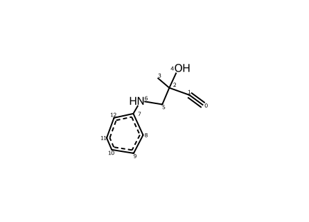 C#CC(C)(O)CNc1ccccc1